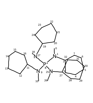 CN(C1CCCCC1)[P+](N(C)C1CCCCC1)(N(C)C1CCCCC1)N(C)C1CCCCC1